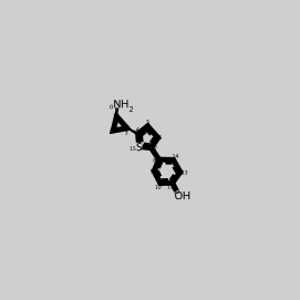 N[C@@H]1C[C@@H]1c1ccc(-c2ccc(O)cc2)s1